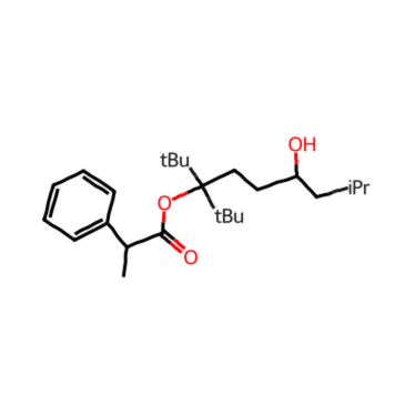 CC(C)CC(O)CCC(OC(=O)C(C)c1ccccc1)(C(C)(C)C)C(C)(C)C